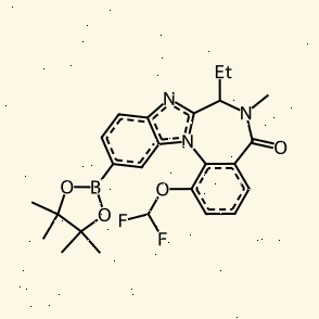 CCC1c2nc3ccc(B4OC(C)(C)C(C)(C)O4)cc3n2-c2c(OC(F)F)cccc2C(=O)N1C